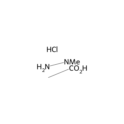 CC(=O)O.CNN.Cl